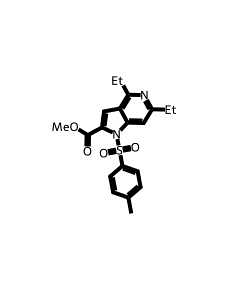 CCc1cc2c(cc(C(=O)OC)n2S(=O)(=O)c2ccc(C)cc2)c(CC)n1